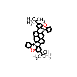 CC(C)(C)c1cc2c3c(c1)-c1ccc4cc5c6c(ccc7cc(c1c4c76)B3c1ccccc1O2)-c1cc(C(C)(C)C)cc2c1B5c1ccccc1O2